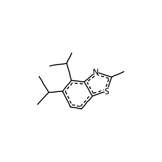 Cc1nc2c(C(C)C)c(C(C)C)ccc2s1